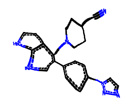 N#CC1CCN(c2c(-c3ccc(-n4ccnn4)cc3)cnc3[nH]ccc23)CC1